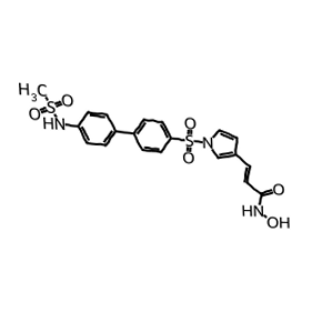 CS(=O)(=O)Nc1ccc(-c2ccc(S(=O)(=O)n3ccc(C=CC(=O)NO)c3)cc2)cc1